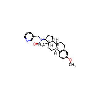 COc1ccc2c(c1)CC[C@@H]1[C@@H]2CC[C@]2(C)[C@@H](N(C=O)Cc3cccnc3)CC[C@@H]12